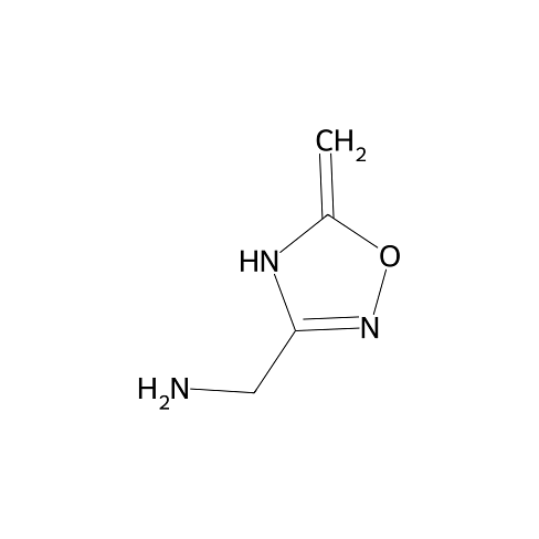 C=C1NC(CN)=NO1